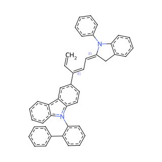 C=C/C(=C\C=C1/Cc2ccccc2N1c1ccccc1)c1ccc2c(c1)c1ccccc1n2-c1ccccc1-c1ccccc1